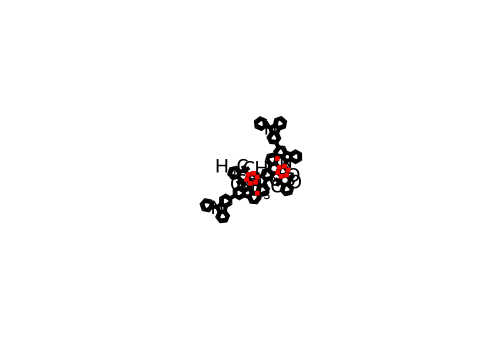 CC1(C)c2ccccc2S(=O)(=O)c2ccc(-c3ccccc3-c3cc(-c4cccc(-n5c6ccccc6c6cc(-c7ccc8c(c7)c7ccccc7n8-c7ccccc7)ccc65)c4)c(-c4ccccc4-c4ccc5c(c4)S(=O)(=O)c4ccccc4C5(C)C)cc3-c3cccc(-n4c5ccccc5c5cc(-c6ccc7c(c6)c6ccccc6n7-c6ccccc6)ccc54)c3)cc21